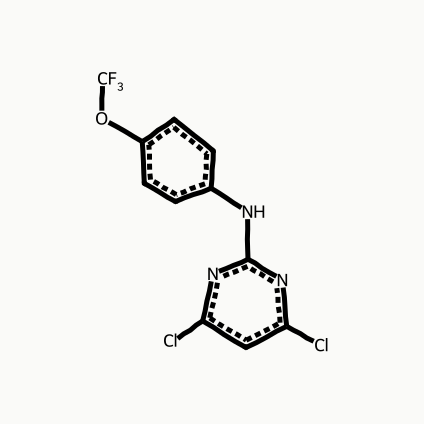 FC(F)(F)Oc1ccc(Nc2nc(Cl)cc(Cl)n2)cc1